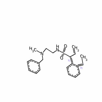 C=C/C(=c1/cccc/c1=C/C)S(=O)(=O)NCCN(C)Cc1ccccc1